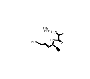 Br.Br.C#CC(C=CCN)NC(=O)C(C)N